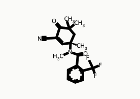 CN(C(=O)c1ccccc1C(F)(F)F)[C@]1(C)C=C(C#N)C(=O)C(C)(C)C1